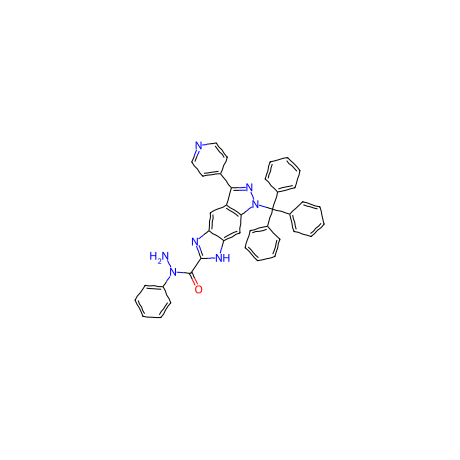 NN(C(=O)c1nc2cc3c(-c4ccncc4)nn(C(c4ccccc4)(c4ccccc4)c4ccccc4)c3cc2[nH]1)c1ccccc1